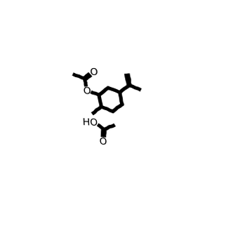 C=C(C)C1CCC(C)C(OC(C)=O)C1.CC(=O)O